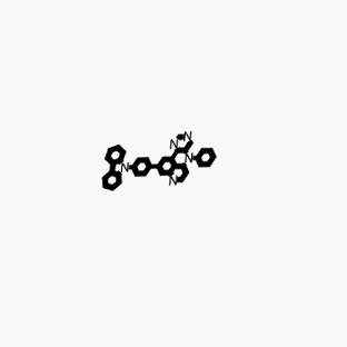 c1ccc(N2c3cncnc3-c3cc(-c4ccc(-n5c6ccccc6c6ccccc65)cc4)cc4nccc2c34)cc1